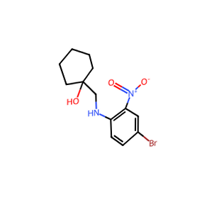 O=[N+]([O-])c1cc(Br)ccc1NCC1(O)CCCCC1